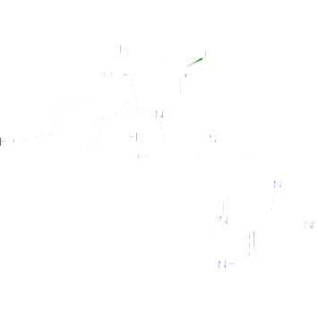 Cc1ncn2c1c(N)nc1cnc(C(=O)N3C[C@H](F)C[C@@H]4Oc5cc(C(F)(F)F)ccc5[C@@H]43)cc12